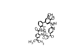 Cc1c(NC(=O)c2ccc(N(C)C)cc2N)cccc1-c1cc(Nc2ccc(C(=O)N3CCOCC3)cn2)c(=O)n(C)c1